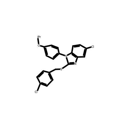 CC(C)Oc1ccc(-n2c(SCc3ccc(Cl)cc3)nc3cc(Cl)ccc32)cc1